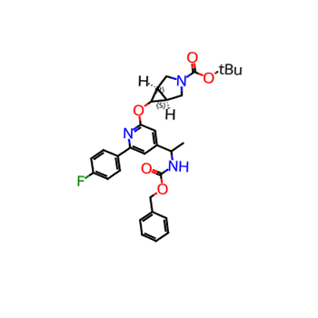 CC(NC(=O)OCc1ccccc1)c1cc(OC2[C@H]3CN(C(=O)OC(C)(C)C)C[C@@H]23)nc(-c2ccc(F)cc2)c1